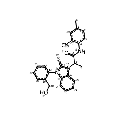 Cc1ccc(NC(=O)C(C)n2c(=S)n(-c3ccccc3CO)c3ccccc32)c(Cl)c1